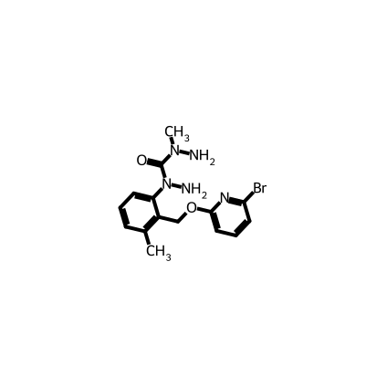 Cc1cccc(N(N)C(=O)N(C)N)c1COc1cccc(Br)n1